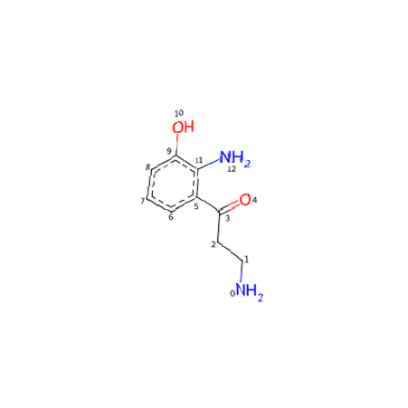 NCCC(=O)c1cccc(O)c1N